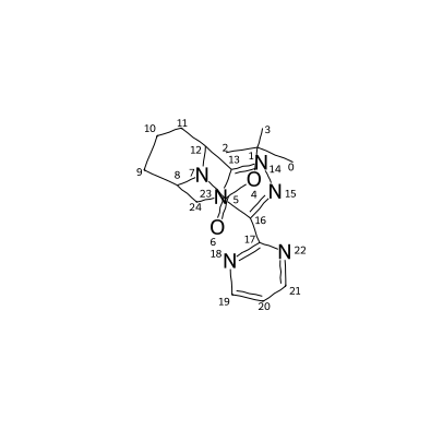 CC(C)(C)OC(=O)N1C2CCCC1c1nnc(-c3ncccn3)n1C2